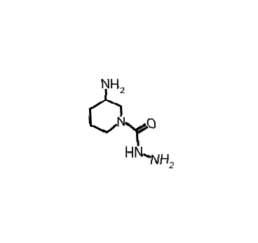 NNC(=O)N1CCCC(N)C1